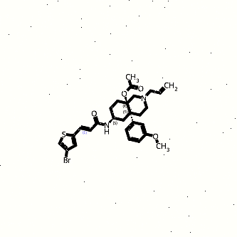 C=CCN1CC[C@@]2(c3cccc(OC)c3)C[C@@H](NC(=O)/C=C/c3cc(Br)cs3)CC[C@]2(OC(C)=O)C1